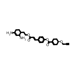 C#CCO[C@H]1CC=C(C(=O)Oc2ccc(/C=C/C(=O)OCCC3CCC(N)=CC3N)cc2)CC1